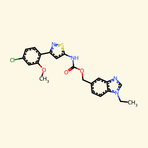 CCn1cnc2cc(COC(=O)Nc3cc(-c4ccc(Cl)cc4OC)ns3)ccc21